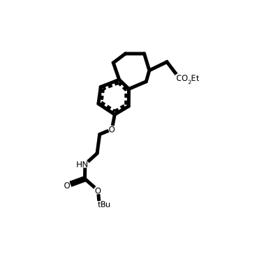 CCOC(=O)CC1CCCc2ccc(OCCNC(=O)OC(C)(C)C)cc2C1